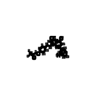 CN(C)C(=O)COc1ccc(CCN2c3nc(N4CC5CC[C@@H](C4)O5)cc(=O)n3CC2(C)C(F)(F)F)cc1